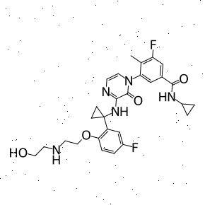 Cc1c(F)cc(C(=O)NC2CC2)cc1-n1ccnc(NC2(c3cc(F)ccc3OCCNCCO)CC2)c1=O